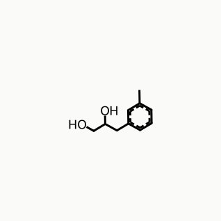 Cc1cccc(CC(O)CO)c1